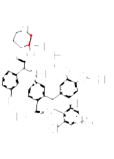 COc1ccc([C@H](Cc2c(Cl)c[n+]([O-])cc2Cl)c2cc(NC(C(=O)O[C@H]3CN4CCC3CC4)c3cccc(F)c3)ccc2C(=O)O)cc1OC